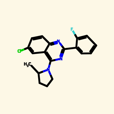 CC1CCCN1c1nc(-c2ccccc2F)nc2ccc(Cl)cc12